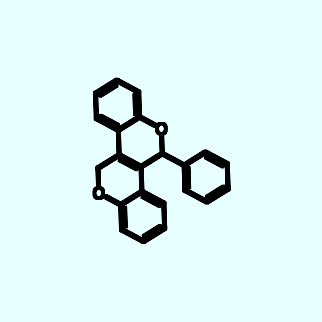 c1ccc(C2Oc3ccccc3C3=C2c2ccccc2OC3)cc1